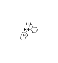 Nc1ccccc1NC1CC2CCC(C1)N2